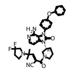 CC(C)(C=C(C#N)C(=O)N1CCC[C@@H](n2c(=O)n(-c3ccc(Oc4ccccc4)cc3)c3c(N)nccc32)C1)N1CCC(F)(F)C1